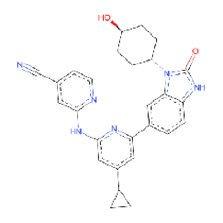 N#Cc1ccnc(Nc2cc(C3CC3)cc(-c3ccc4[nH]c(=O)n([C@H]5CC[C@H](O)CC5)c4c3)n2)c1